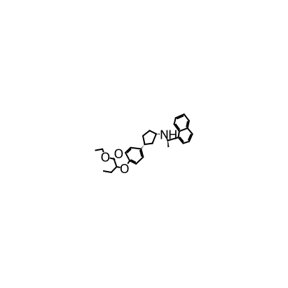 CCOC(=O)C(CC)Oc1ccc([C@@H]2CC[C@H](N[C@H](C)c3cccc4ccccc34)C2)cc1